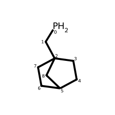 PCC12CCC(CC1)C2